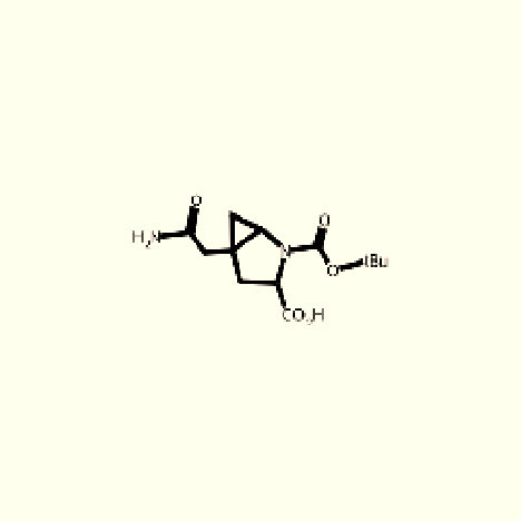 CC(C)(C)OC(=O)N1C(C(=O)O)CC2(CC(N)=O)CC12